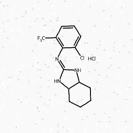 Cl.FC(F)(F)c1cccc(Cl)c1N=C1NC2CCCCC2N1